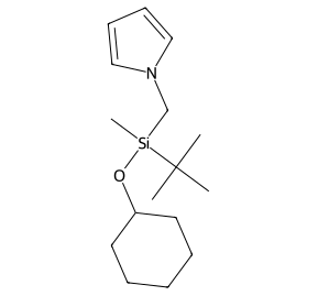 CC(C)(C)[Si](C)(Cn1cccc1)OC1CCCCC1